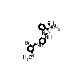 COc1ccc(Br)c(CN[C@H]2CC[C@@H](Nc3nc(N(C)C)c4ccccc4n3)CC2)c1